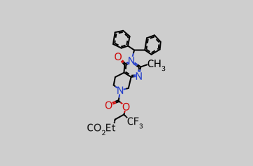 CCOC(=O)CC(OC(=O)N1CCc2c(nc(C)n(C(c3ccccc3)c3ccccc3)c2=O)C1)C(F)(F)F